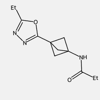 CCC(=O)NC12CC(c3nnc(CC)o3)(C1)C2